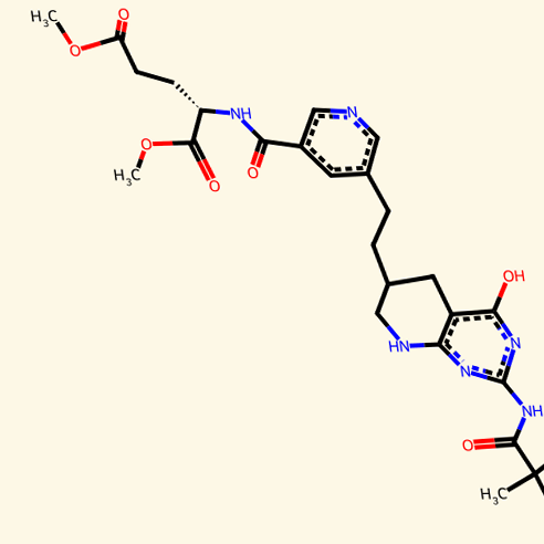 COC(=O)CC[C@H](NC(=O)c1cncc(CCC2CNc3nc(NC(=O)C(C)(C)C)nc(O)c3C2)c1)C(=O)OC